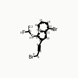 FC(F)Sc1c(C#CCBr)cc2c(Br)cccn12